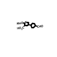 COc1ncc(-c2ccc(C=O)cc2)cc1C(=O)O